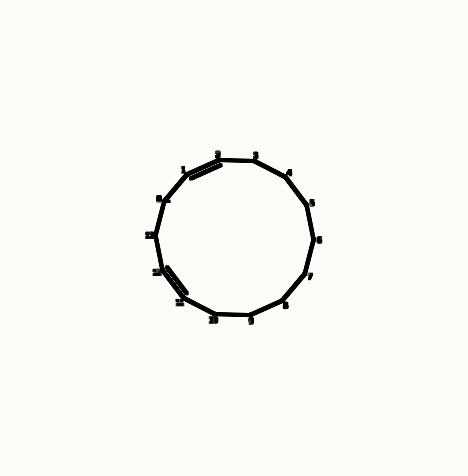 [CH]1C=CCCCCCCCCC=CC1